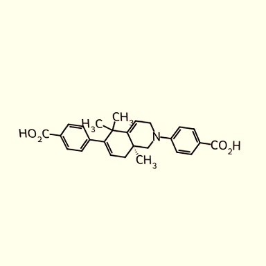 CC1(C)C(c2ccc(C(=O)O)cc2)=CC[C@]2(C)CN(c3ccc(C(=O)O)cc3)CC=C12